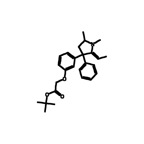 CC=C1N(C)C(C)CC1(c1ccccc1)c1cccc(OCC(=O)OC(C)(C)C)c1